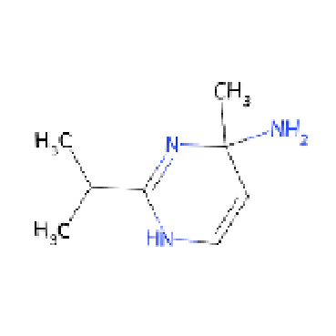 CC(C)C1=NC(C)(N)C=CN1